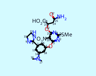 CSc1nc(Oc2cc(C3=NCCN3)cc(N(C)C)c2)c([N+](=O)[O-])c(OC(CC(N)=O)C(=O)O)n1